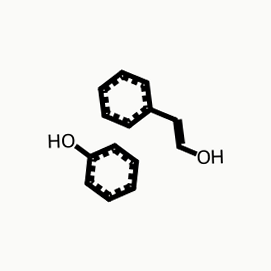 OC=Cc1ccccc1.Oc1ccccc1